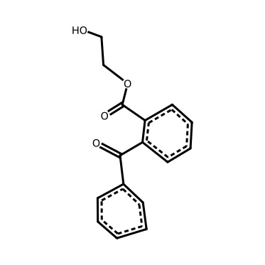 O=C(OCCO)c1ccccc1C(=O)c1ccccc1